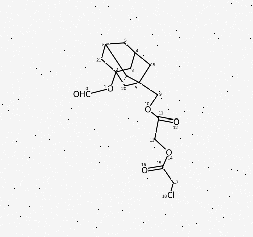 O=COC12CC3CC(CC(COC(=O)COC(=O)CCl)(C3)C1)C2